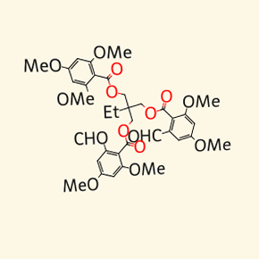 CCC(COC(=O)c1c(C=O)cc(OC)cc1OC)(COC(=O)c1c(C=O)cc(OC)cc1OC)COC(=O)c1c(OC)cc(OC)cc1OC